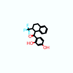 O=C(c1ccc(O)cc1O)C1c2ccccc2CCC1C(F)(F)F